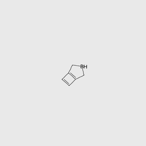 B1CC2=C(C=C2)C1